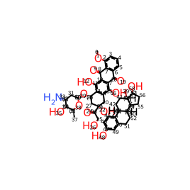 COc1cccc2c1C(=O)c1c(O)c3c(c(O)c1C2=O)C[C@@](O)(C(=O)CO)C[C@@H]3O[C@H]1C[C@H](N)[C@H](O)[C@H](C)O1.C[C@]12CC[C@@H]3c4ccc(O)cc4CC[C@H]3[C@@H]1CC[C@@H]2O